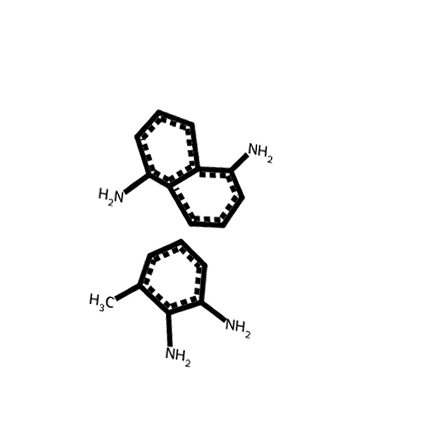 Cc1cccc(N)c1N.Nc1cccc2c(N)cccc12